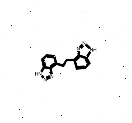 c1cc(CCc2cccc3[nH]nnc23)c2nn[nH]c2c1